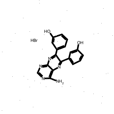 Br.Nc1ncnc2nc(-c3cccc(O)c3)c(-c3cccc(O)c3)nc12